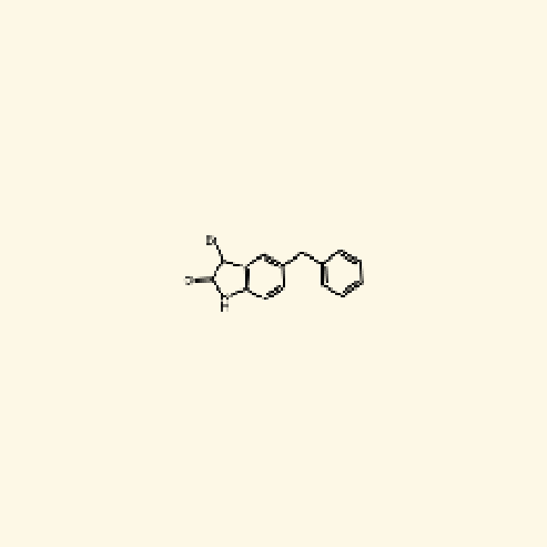 O=C1Nc2ccc(Cc3ccccc3)cc2C1Br